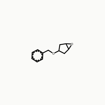 c1ccc(COC2CC3OC3C2)cc1